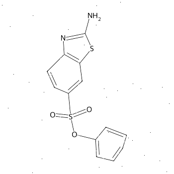 Nc1nc2ccc(S(=O)(=O)Oc3ccccc3)cc2s1